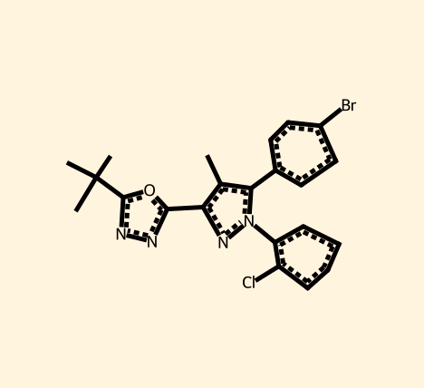 Cc1c(-c2nnc(C(C)(C)C)o2)nn(-c2ccccc2Cl)c1-c1ccc(Br)cc1